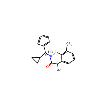 CC(=O)C(C(=O)N[C@H](c1ccccc1)C1CC1)c1cccc(C(F)(F)F)c1C(=O)O